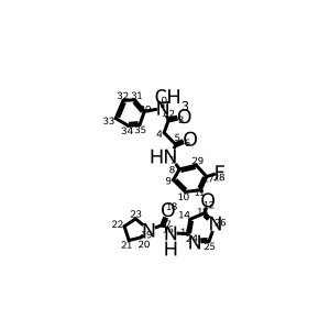 CN(C(=O)CC(=O)Nc1ccc(Oc2cc(NC(=O)N3CCCC3)ncn2)c(F)c1)c1ccccc1